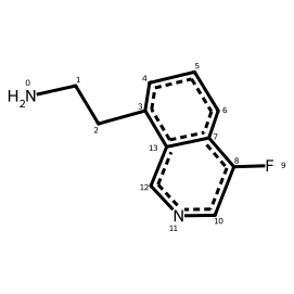 NCCc1cccc2c(F)cncc12